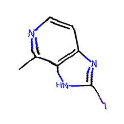 Cc1nccc2nc(I)[nH]c12